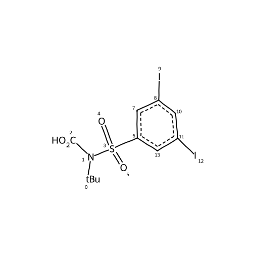 CC(C)(C)N(C(=O)O)S(=O)(=O)c1cc(I)cc(I)c1